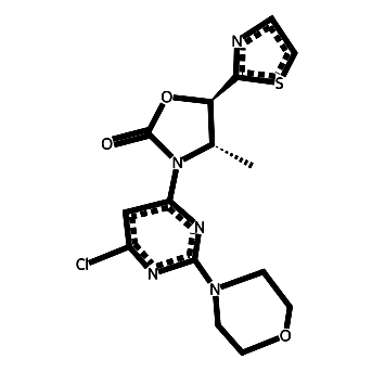 C[C@H]1[C@H](c2nccs2)OC(=O)N1c1cc(Cl)nc(N2CCOCC2)n1